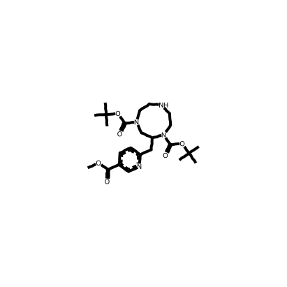 COC(=O)c1ccc(CC2CN(C(=O)OC(C)(C)C)CCNCCN2C(=O)OC(C)(C)C)nc1